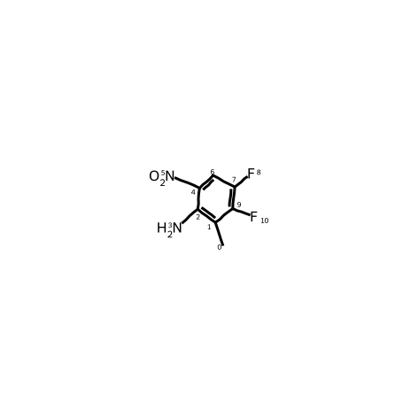 Cc1c(N)c([N+](=O)[O-])cc(F)c1F